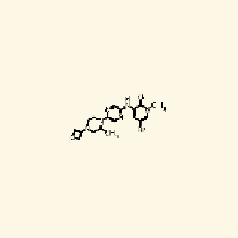 CC1CN(C2COC2)CCN1c1cnc(Nc2cc(Br)cn(C)c2=O)cn1